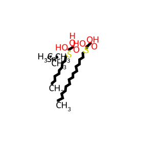 CCCCCCCCCCCCCCCCSC(O)C(=O)O.CCCCCCCCCCSC(O)C(=O)O.[CH3][Sn]([CH3])[CH3]